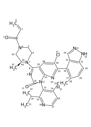 C=CC(=O)N1CCN(c2nc(=O)n(-c3c(C)ccnc3C(C)C)c3nc(-c4c(C)ccc5[nH]ncc45)c(Cl)cc23)[C@@H](C)C1